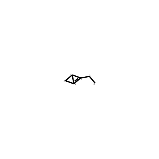 CCC1=C2CC12